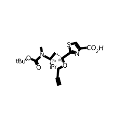 C#CCO[C@H](C[C@H](C(C)C)N(C)C(=O)OC(C)(C)C)c1nc(C(=O)O)cs1